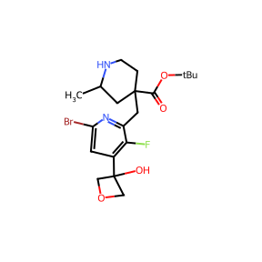 CC1CC(Cc2nc(Br)cc(C3(O)COC3)c2F)(C(=O)OC(C)(C)C)CCN1